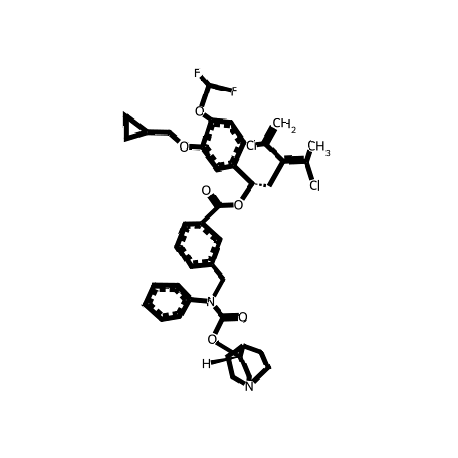 C=C(Cl)/C(C[C@H](OC(=O)c1cccc(CN(C(=O)O[C@H]2CN3CCC2CC3)c2ccccc2)c1)c1ccc(OC(F)F)c(OCC2CC2)c1)=C(\C)Cl